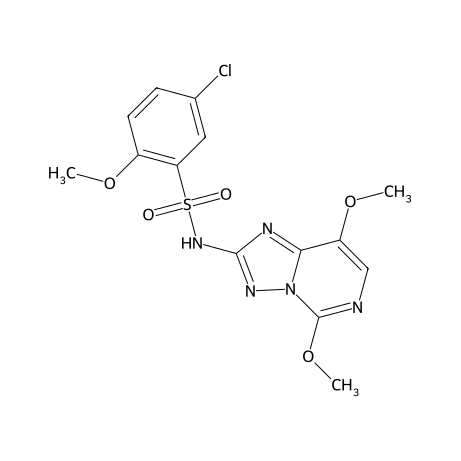 COc1ccc(Cl)cc1S(=O)(=O)Nc1nc2c(OC)cnc(OC)n2n1